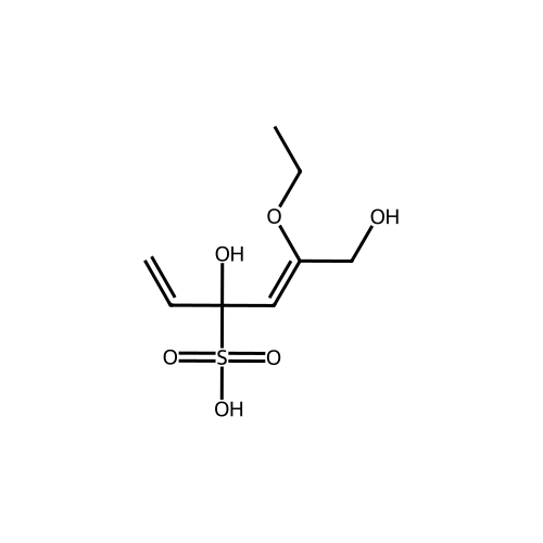 C=CC(O)(C=C(CO)OCC)S(=O)(=O)O